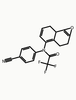 N#Cc1ccc(N(C(=O)C(F)(F)F)C2=C3CCC4=C(O4)C3CC=C2)cc1